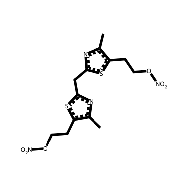 Cc1nc(Cc2nc(C)c(CCO[N+](=O)[O-])s2)sc1CCO[N+](=O)[O-]